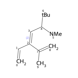 C=C/C(=C/C(NC)C(C)(C)C)C(=C)C